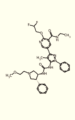 CCNC(=O)c1cc(-c2nn(-c3ccccc3)c(NC(=O)N[C@@H]3CN(CCOC)C[C@H]3c3ccccc3)c2C)cnc1OCC(F)F